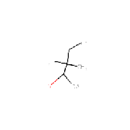 CC(=O)OC(O)C(C)(C)CC(C)C